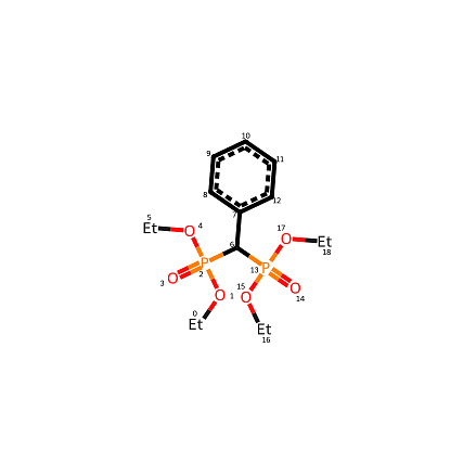 CCOP(=O)(OCC)C(c1ccccc1)P(=O)(OCC)OCC